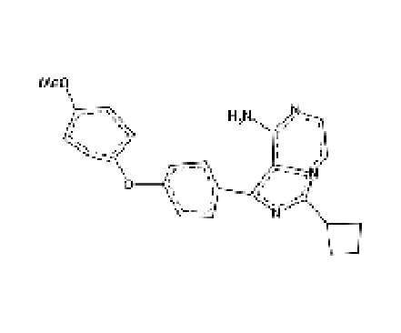 COc1ccc(Oc2ccc(-c3nc(C4CCC4)n4ccnc(N)c34)cc2)cc1